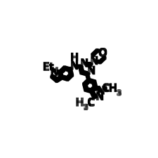 CCn1ccc2ccc(Nc3cc(-c4ccc5c(C)nn(C)c5c4)nc(N4CCOCC4)n3)cc21